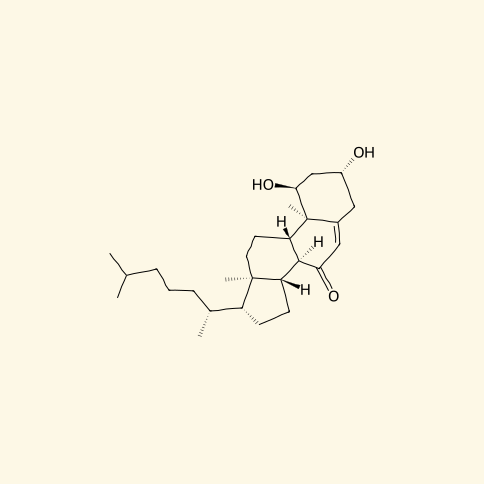 CC(C)CCC[C@@H](C)[C@H]1CC[C@H]2[C@@H]3C(=O)C=C4C[C@@H](O)C[C@H](O)[C@]4(C)[C@H]3CC[C@]12C